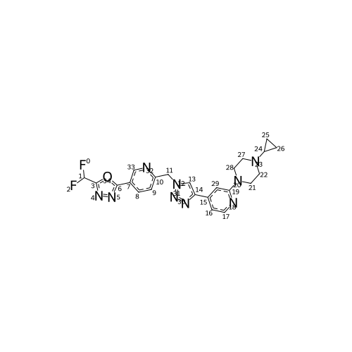 FC(F)c1nnc(-c2ccc(Cn3cc(-c4ccnc(N5CCN(C6CC6)CC5)c4)nn3)nc2)o1